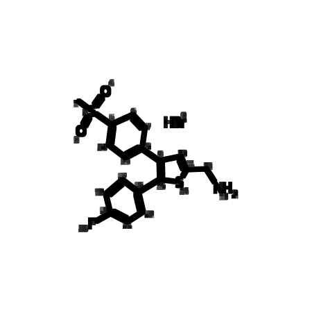 Br.CS(=O)(=O)c1ccc(-c2cc(CN)sc2-c2ccc(F)cc2)cc1